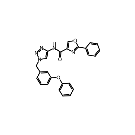 O=C(Nc1cn(Cc2cccc(Oc3ccccc3)c2)nn1)c1coc(-c2ccccc2)n1